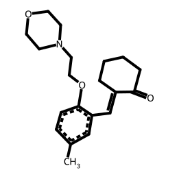 Cc1ccc(OCCN2CCOCC2)c(/C=C2\CCCCC2=O)c1